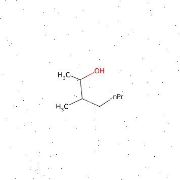 CCCCC(C)[C](C)O